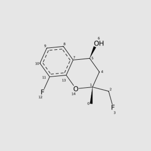 C[C@]1(CF)C[C@H](O)c2cccc(F)c2O1